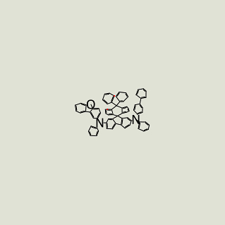 c1ccc(-c2ccc(N(c3ccccc3)c3ccc4c(c3)C3(c5cc(N(c6ccccc6)c6ccc7oc8ccccc8c7c6)ccc5-4)c4ccccc4C(c4ccccc4)(c4ccccc4)c4ccccc43)cc2)cc1